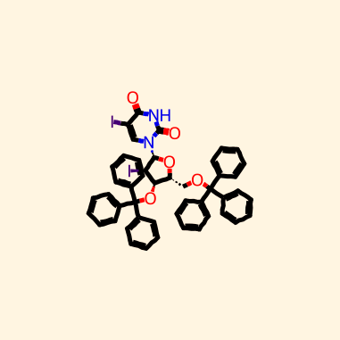 O=c1[nH]c(=O)n([C@@H]2O[C@H](COC(c3ccccc3)(c3ccccc3)c3ccccc3)[C@@H](OC(c3ccccc3)(c3ccccc3)c3ccccc3)[C@H]2I)cc1I